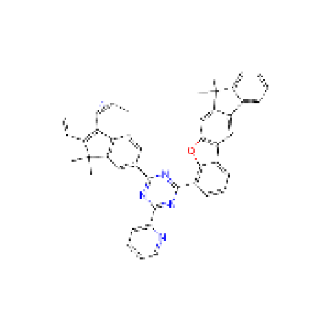 C=CC1=C(/C=C\C)c2ccc(-c3nc(-c4ccccn4)nc(-c4cccc5c4oc4cc6c(cc45)-c4ccccc4C6(C)C)n3)cc2C1(C)C